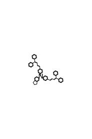 C(/C=C/c1ccc(N(c2ccc(/C=C/C=C(c3ccccc3)c3ccccc3)cc2)c2ccc3c(c2)CCC3)cc1)=C(c1ccccc1)c1ccccc1